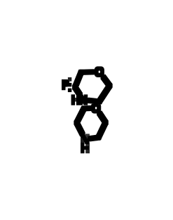 C1COCCN1.C1COCCN1.[P]